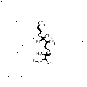 CCC(C)(OCCC(F)(F)F)C(COC(C)(CC)C(C(=O)O)C(F)(F)F)C(F)(F)F